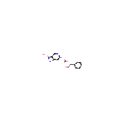 COc1n[nH]c2cc(NC(=O)N[C@@H](c3ccccc3)[C@H](C)O)ncc12